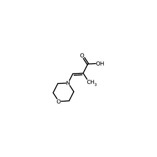 C/C(=C\N1CCOCC1)C(=O)O